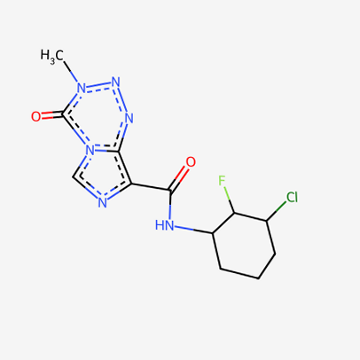 Cn1nnc2c(C(=O)NC3CCCC(Cl)C3F)ncn2c1=O